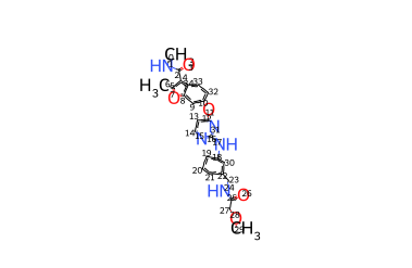 CNC(=O)c1c(C)oc2cc(Oc3ccnc(Nc4cccc(CNC(=O)COC)c4)n3)ccc12